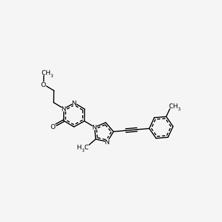 COCCn1ncc(-n2cc(C#Cc3cccc(C)c3)nc2C)cc1=O